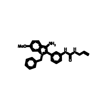 C=CCNC(=O)Nc1cccc(-c2c(N)c3ccc(OC)cc3n2Cc2ccccc2)c1